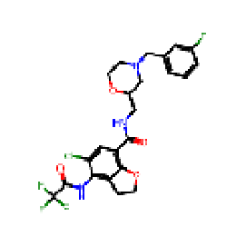 O=C(NCC1CN(Cc2cccc(F)c2)CCO1)c1cc(Cl)c(NC(=O)C(F)(F)F)c2c1OCC2